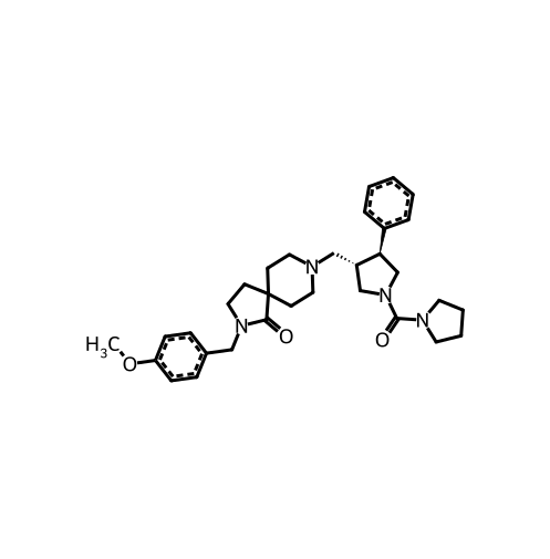 COc1ccc(CN2CCC3(CCN(C[C@H]4CN(C(=O)N5CCCC5)C[C@@H]4c4ccccc4)CC3)C2=O)cc1